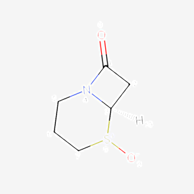 O=C1C[C@@H]2N1CCC[S+]2[O-]